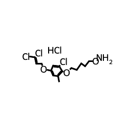 Cc1cc(OCC=C(Cl)Cl)cc(Cl)c1OCCCCCON.Cl